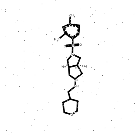 Cc1ccc(S(=O)(=O)N2C[C@H]3C[C@@H](NCC4CCOCC4)C[C@H]3C2)c(C)c1